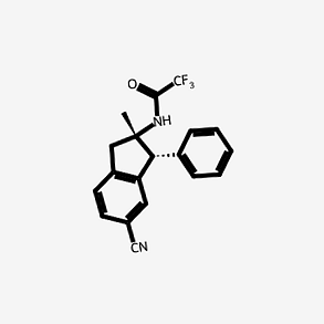 C[C@]1(NC(=O)C(F)(F)F)Cc2ccc(C#N)cc2[C@H]1c1ccccc1